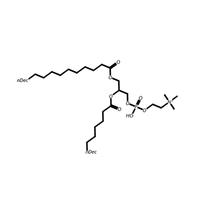 CCCCCCCCCCCCCCCCCCCC(=O)OCC(COP(=O)(O)OCC[N+](C)(C)C)OC(=O)CCCCCCCCCCCCCCC